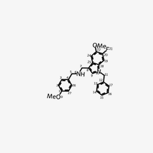 COc1ccc(CNCc2cn(Cc3ccccc3)c3cc(F)c(OC)cc23)cc1